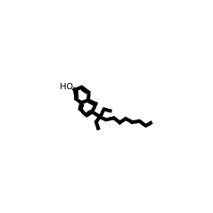 CCCCCCCCC(CC)(CC)c1ccc2cc(O)ccc2c1